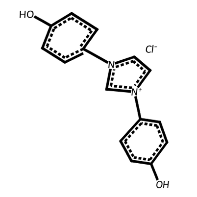 Oc1ccc(-n2cc[n+](-c3ccc(O)cc3)c2)cc1.[Cl-]